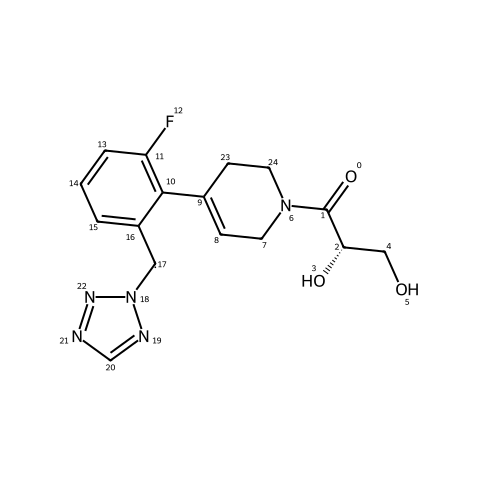 O=C([C@@H](O)CO)N1CC=C(c2c(F)cccc2[CH]n2ncnn2)CC1